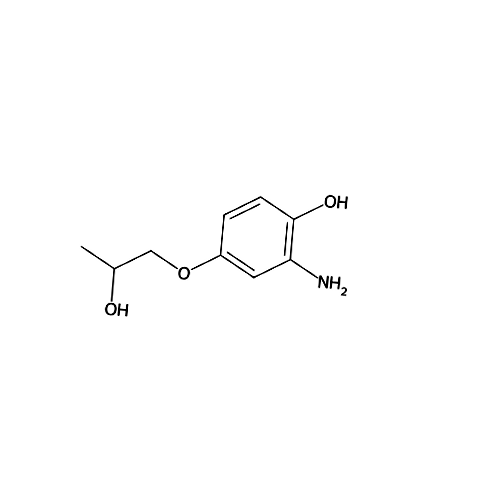 CC(O)COc1ccc(O)c(N)c1